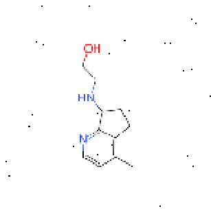 Cc1ccnc2c1CCC2NCCO